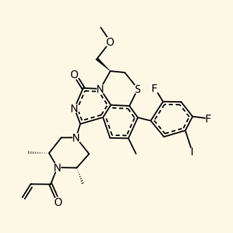 C=CC(=O)N1[C@H](C)CN(c2nc(=O)n3c4c(c(-c5cc(I)c(F)cc5F)c(C)cc24)SC[C@@H]3COC)C[C@@H]1C